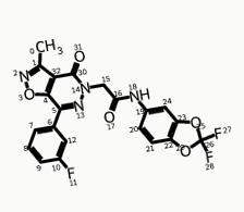 Cc1noc2c(-c3cccc(F)c3)nn(CC(=O)Nc3ccc4c(c3)OC(F)(F)O4)c(=O)c12